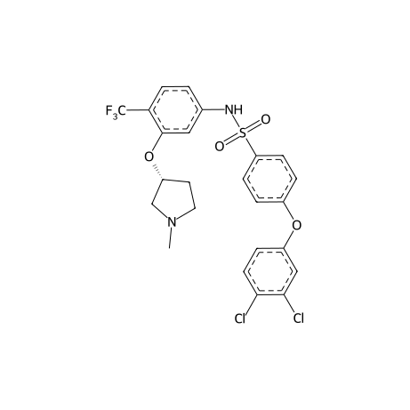 CN1CC[C@@H](Oc2cc(NS(=O)(=O)c3ccc(Oc4ccc(Cl)c(Cl)c4)cc3)ccc2C(F)(F)F)C1